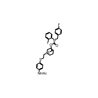 CC(=O)Nc1ccc(SCC[N+]23CCC(CC2)C(OC(=O)N(Cc2ccc(F)cc2)c2ccccc2F)C3)cc1